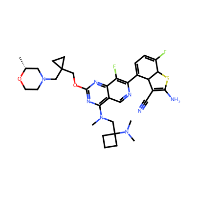 C[C@@H]1CN(CC2(COc3nc(N(C)CC4(N(C)C)CCC4)c4cnc(C5=CC=C(F)C6SC(N)=C(C#N)C56)c(F)c4n3)CC2)CCO1